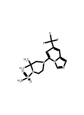 CC1(C)CN(c2cc(C(F)(F)F)cc3cncn23)CCN1S(N)(=O)=O